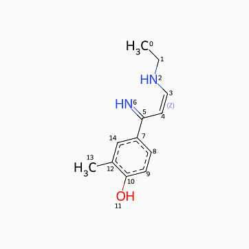 CCN/C=C\C(=N)c1ccc(O)c(C)c1